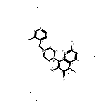 Cc1ccccc1CN1CCN(c2c(C#N)c(=O)n(C)c3ccc(Cl)nc23)CC1